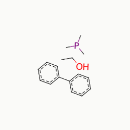 CCO.CP(C)C.c1ccc(-c2ccccc2)cc1